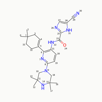 CC1(C)CC=C(c2nc(N3CC(C)(C)NC(C)(C)C3)ccc2NC(=O)c2ncc(C#N)[nH]2)CC1